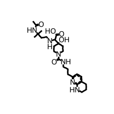 CC(=O)NC(C)(C)CCNC(C(=O)O)C1(O)CCN(C(=O)NCCCc2ccc3c(n2)NCCC3)CC1